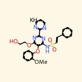 COc1ccccc1Oc1c(NS(=O)(=O)C=Cc2ccccc2)nc(-c2ncccn2)nc1OCCO.[KH]